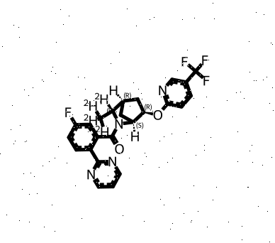 [2H]C([2H])([2H])[C@]1([2H])[C@H]2C[C@@H](Oc3ccc(C(F)(F)F)cn3)[C@H](C2)N1C(=O)c1cc(F)ccc1-c1ncccn1